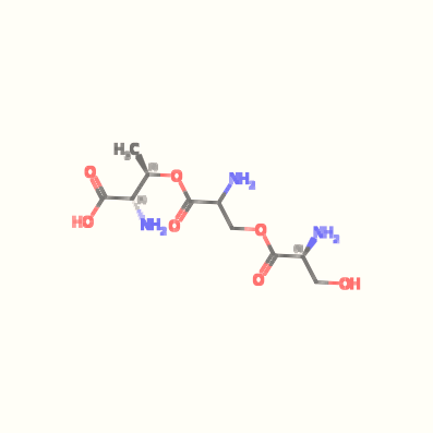 C[C@@H](OC(=O)C(N)COC(=O)[C@@H](N)CO)[C@H](N)C(=O)O